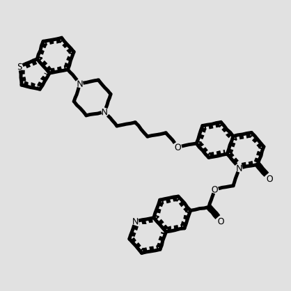 O=C(OCn1c(=O)ccc2ccc(OCCCCN3CCN(c4cccc5sccc45)CC3)cc21)c1ccc2ncccc2c1